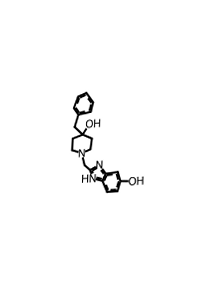 Oc1ccc2[nH]c(CN3CCC(O)(Cc4ccccc4)CC3)nc2c1